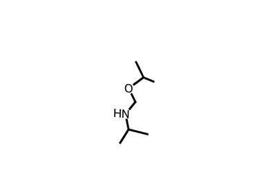 CC(C)NCOC(C)C